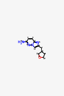 Nc1ccc2nc(CC3CCOC3)cn2n1